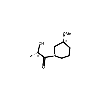 CO[C@@H]1CCCN(C(=O)[C@H](C)O)C1